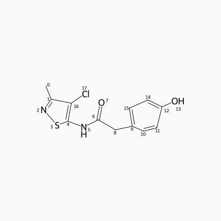 Cc1nsc(NC(=O)Cc2ccc(O)cc2)c1Cl